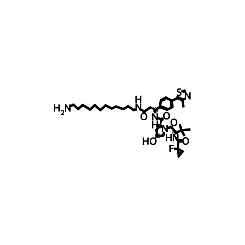 Cc1ncsc1-c1ccc([C@H](CC(=O)NCCCCCCCCCCCCN)NC(=O)[C@@H]2C[C@@H](O)CN2C(=O)[C@@H](NC(=O)C2(F)CC2)C(C)(C)C)cc1